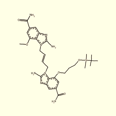 COc1cc(C(N)=O)cc2nc(N)n(C/C=C/Cn3c(N)nc4cc(C(N)=O)cc(OCCCO[Si](C)(C)C(C)(C)C)c43)c12